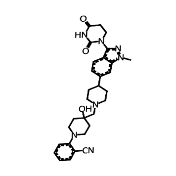 Cn1nc(N2CCC(=O)NC2=O)c2ccc(C3CCN(CC4(O)CCN(c5ccccc5C#N)CC4)CC3)cc21